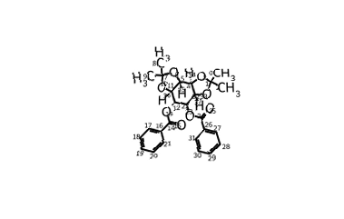 CC1(C)O[C@@H]2[C@H]3OC(C)(C)O[C@H]3[C@@H](OC(=O)c3ccccc3)[C@H](OC(=O)c3ccccc3)[C@H]2O1